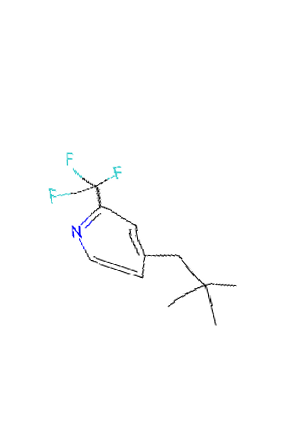 CC(C)(C)Cc1ccnc(C(F)(F)F)c1